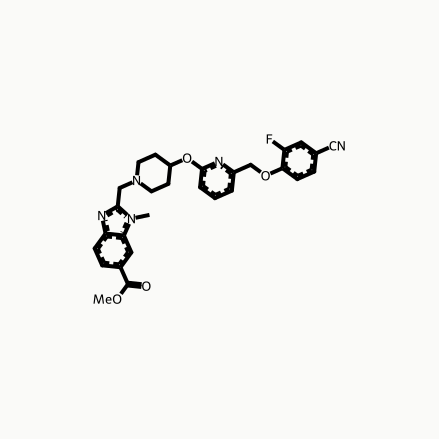 COC(=O)c1ccc2nc(CN3CCC(Oc4cccc(COc5ccc(C#N)cc5F)n4)CC3)n(C)c2c1